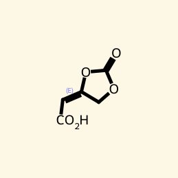 O=C(O)/C=C1\COC(=O)O1